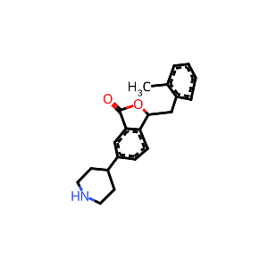 Cc1ccccc1CC1OC(=O)c2cc(C3CCNCC3)ccc21